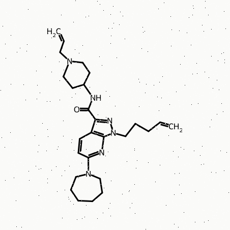 C=CCCCn1nc(C(=O)NC2CCN(CC=C)CC2)c2ccc(N3CCCCCC3)nc21